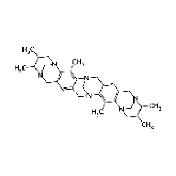 Cc1c2c(cc3c1N1CC(C)C(C)N(C3)C1)CN1CN2Cc2cc3c(c(C)c21)N1CC(C)C(C)N(C3)C1